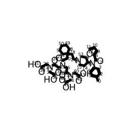 Cc1ccc(N(C(=O)c2ccco2)C2CCN(CCC3(CC(=O)N(CC(=O)N(CC(=O)O)CC(=O)O)CC(=O)N(CC(=O)O)CC(=O)O)CCCCC3)CC2)cc1